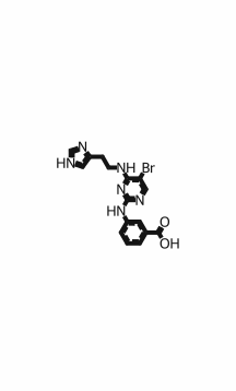 O=C(O)c1cccc(Nc2ncc(Br)c(NCCc3c[nH]cn3)n2)c1